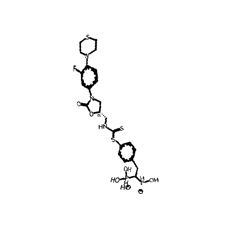 O=C1O[C@@H](CNC(=S)Sc2ccc(CC([PH](=O)O)[PH](O)(O)O)cc2)CN1c1ccc(N2CCSCC2)c(F)c1